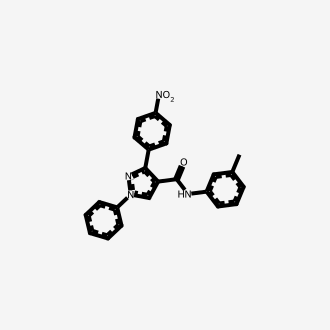 Cc1cccc(NC(=O)c2cn(-c3ccccc3)nc2-c2ccc([N+](=O)[O-])cc2)c1